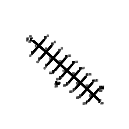 FC(F)(F)C(F)(F)C(F)(F)C(F)(F)C(F)(F)C(F)(F)C(F)(F)C(F)(F)C(F)(F)C(F)(F)S.[Au]